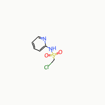 O=S(=O)(CCl)Nc1ccccn1